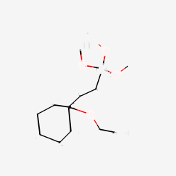 CCOC1(CC[Si](OC)(OC)OC)CCCCC1